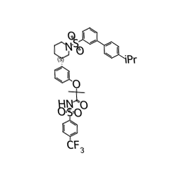 CC(C)c1ccc(-c2cccc(S(=O)(=O)N3CCC[C@@H](c4cccc(OC(C)(C)C(=O)NS(=O)(=O)c5ccc(C(F)(F)F)cc5)c4)C3)c2)cc1